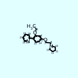 CCOc1cc(OCCN2CCCC2)ccc1-c1ccc[c]n1